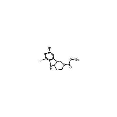 CC(C)(C)OC(=O)N1CCC2Nc3c(cc(Br)cc3C(F)(F)F)C2C1